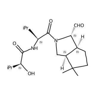 CC(C)[C@H](O)C(=O)N[C@H](C(=O)N1C[C@H]2[C@H](CCC2(C)C)[C@H]1C=O)C(C)C